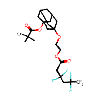 CCC(C)(C)C(=O)OC12CC3CC(CC(OCCOC(=O)CC(F)(F)CC(F)(F)C(F)(F)F)(C3)C1)C2